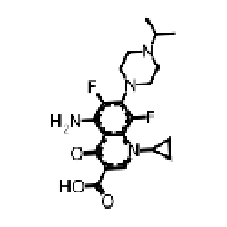 CC(C)N1CCN(c2c(F)c(N)c3c(=O)c(C(=O)O)cn(C4CC4)c3c2F)CC1